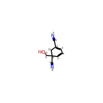 N#CC1=CC=CC(C#N)(CO)C1